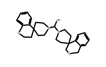 CCCC(N1CCC2(CC1)COCc1ccccc12)N1CCC2(CCOc3ccccc32)CC1